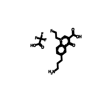 NCCCc1ccc2c(c1)c(=O)c(C(=O)O)cn2CCF.O=C(O)C(F)(F)F